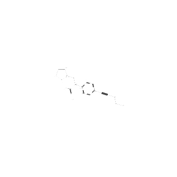 CC(O)CC#Cc1ccc(C(CC2CCCC2)C(=O)O)cc1